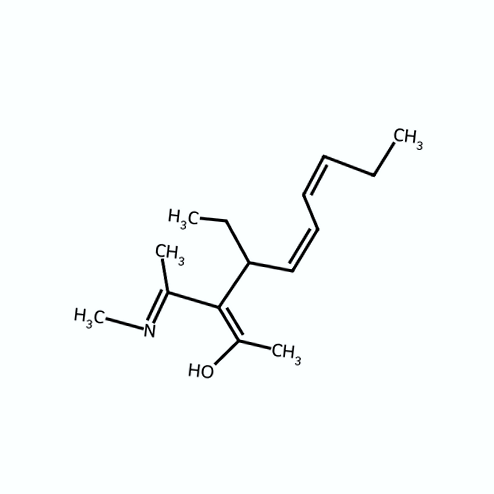 CC/C=C\C=C/C(CC)C(=C(\C)O)/C(C)=N/C